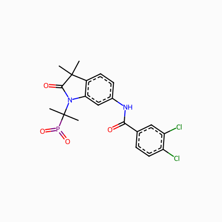 CC1(C)C(=O)N(C(C)(C)P(=O)=O)c2cc(NC(=O)c3ccc(Cl)c(Cl)c3)ccc21